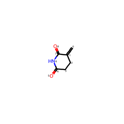 C=C1CCC(=O)NC1=O